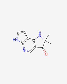 CC1(C)Nc2c(cnc3[nH]ccc23)C1=O